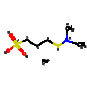 CN(C)SCCCS(=O)(=O)[O-].[Na+]